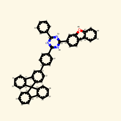 c1ccc(-c2nc(-c3ccc(-c4ccc5c(c4)-c4ccccc4C54c5ccccc5-c5ccccc54)cc3)nc(-c3ccc4c(c3)oc3ccccc34)n2)cc1